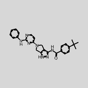 CC(C)(C)c1ccc(C(=O)Nc2n[nH]c3c2CN(c2ccnc(Nc4ccccc4)n2)C3)cc1